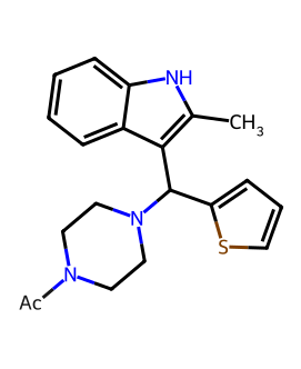 CC(=O)N1CCN(C(c2cccs2)c2c(C)[nH]c3ccccc23)CC1